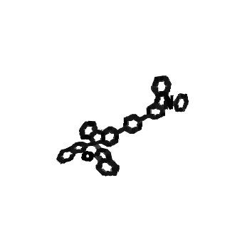 c1ccc(-n2c3ccccc3c3cc(-c4ccc(-c5ccc6c(c5)-c5ccccc5C65c6ccc7ccccc7c6Oc6c5ccc5ccccc65)cc4)ccc32)cc1